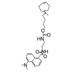 CN(C)c1cccc2c(S(=O)(=O)NCCNC(=O)OCCCCS3(C)CCC=CCC3)cccc12